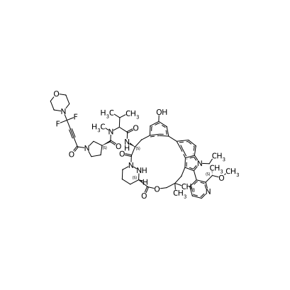 CCn1c(-c2cccnc2[C@H](C)OC)c2c3cc(ccc31)-c1cc(O)cc(c1)C[C@H](NC(=O)C(C(C)C)N(C)C(=O)[C@H]1CCN(C(=O)C#CC(F)(F)N3CCOCC3)C1)C(=O)N1CCC[C@H](N1)C(=O)OCC(C)(C)C2